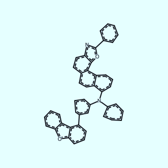 c1ccc(-c2nc3ccc4ccc5c(N(c6ccccc6)c6cccc(-c7cccc8oc9ccccc9c78)c6)cccc5c4c3o2)cc1